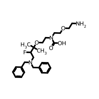 CC(C)(OCCN(CCOCCN)C(=O)O)C(F)CN(Cc1ccccc1)Cc1ccccc1